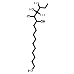 CCC(O)C(O)(O)C(O)C(O)CCCCCCCCCCO